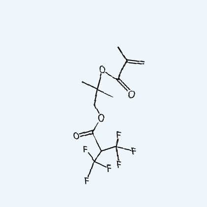 C=C(C)C(=O)OC(C)(C)COC(=O)C(C(F)(F)F)C(F)(F)F